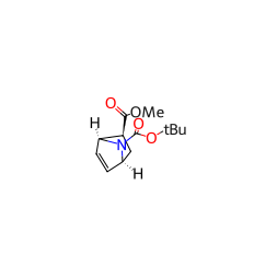 COC(=O)[C@H]1C[C@H]2C=C[C@@H]1N2C(=O)OC(C)(C)C